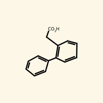 O=C(O)Cc1[c]cccc1-c1ccccc1